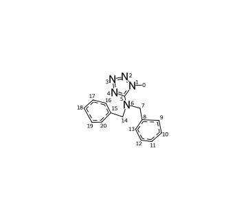 Cn1nnnc1N(Cc1ccccc1)Cc1ccccc1